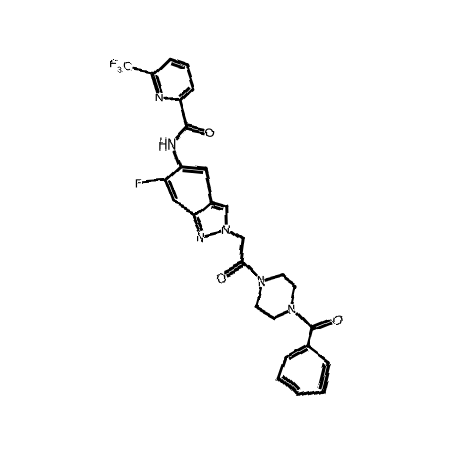 O=C(Nc1cc2cn(CC(=O)N3CCN(C(=O)c4ccccc4)CC3)nc2cc1F)c1cccc(C(F)(F)F)n1